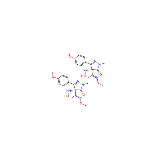 CON=C(C)C1(NO)C(=O)N(C)N=C1c1ccc(OC)cc1.CON=C(C)C1(NO)C(=O)N(C)N=C1c1ccc(OC)cc1